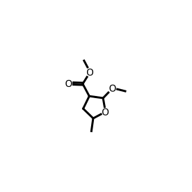 COC(=O)C1CC(C)OC1OC